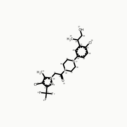 Cc1c(Cl)c(C(F)(F)F)nn1CC(=O)N1CCN(c2ccc(Cl)c(C(C)CO)c2)CC1